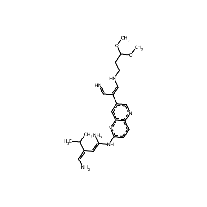 COC(CCN/C=C(\C=N)c1cnc2ccc(N/C(N)=C/C(=C\N)C(C)C)nc2c1)OC